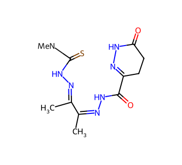 CNC(=S)NN=C(C)C(C)=NNC(=O)C1=NNC(=O)CC1